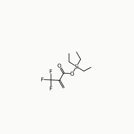 C=C(C(=O)O[Si](CC)(CC)CC)C(F)(F)F